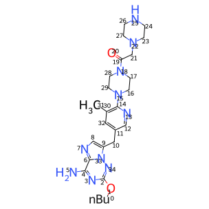 CCCCOc1nc(N)c2ncc(Cc3cnc(N4CCN(C(=O)CN5CCNCC5)CC4)c(C)c3)n2n1